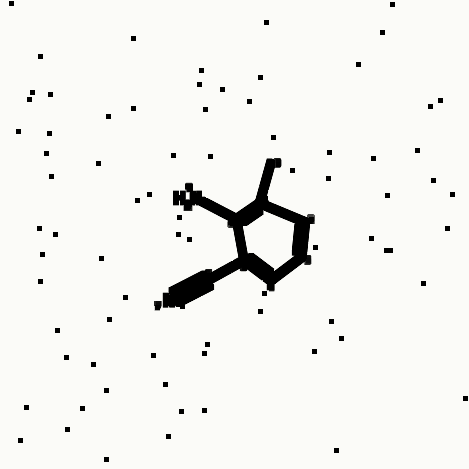 Cc1cccc(C#N)c1N